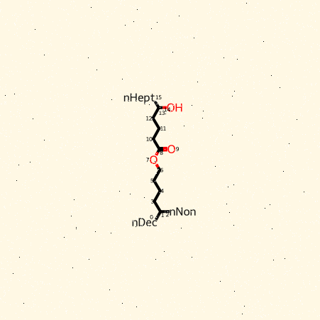 CCCCCCCCCCC(CCCCCCCCC)CCCCOC(=O)CCCC(O)CCCCCCC